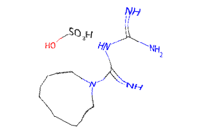 N=C(N)NC(=N)N1CCCCCC1.O=S(=O)(O)O